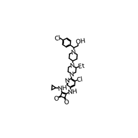 CCC1CN(c2ncc(Nc3c(NC4CC4)c(=O)c3=O)cc2Cl)CCN1C1CCN(C(CO)c2ccc(Cl)cc2)CC1